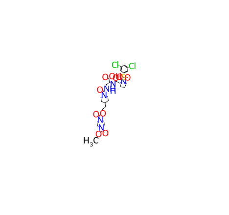 CCOC(=O)N1CCN(C(=O)OCCC2CCN(C(=O)NC[C@H](NC(=O)[C@@H]3CCCN3S(=O)(=O)c3cc(Cl)cc(Cl)c3)C(=O)O)CC2)CC1